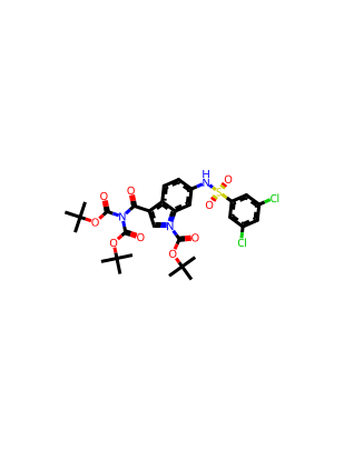 CC(C)(C)OC(=O)N(C(=O)OC(C)(C)C)C(=O)c1cn(C(=O)OC(C)(C)C)c2cc(NS(=O)(=O)c3cc(Cl)cc(Cl)c3)ccc12